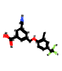 Cc1cc(C(F)(F)F)ccc1OCc1cc(C#N)cc(C(=O)O)c1